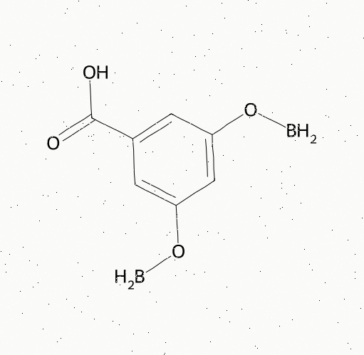 BOc1cc(OB)cc(C(=O)O)c1